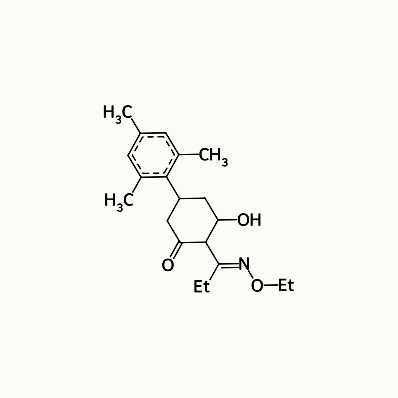 CCON=C(CC)C1C(=O)CC(c2c(C)cc(C)cc2C)CC1O